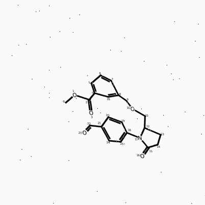 COC(=O)c1cccc(COCC2CCC(=O)N2c2ccc(C=O)cc2)c1